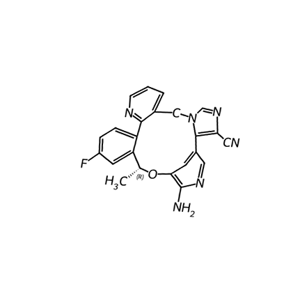 C[C@H]1Oc2cc(cnc2N)-c2c(C#N)ncn2Cc2cccnc2-c2ccc(F)cc21